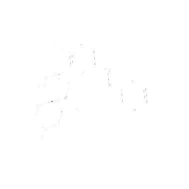 CN1CCC2(CC1)C(=N)N[C@](C)(c1cc(NC(=O)c3ccc(F)cn3)ccc1F)CS2(O)O